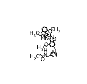 C=CC(=O)NCc1cnn(Cc2cc(OC)c3c(NS(=O)(=O)c4c(OC)cccc4OC)noc3c2)c1